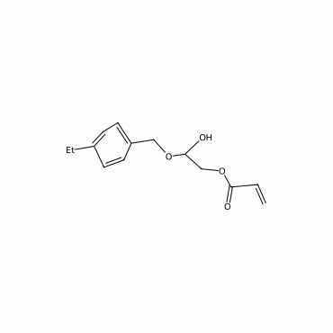 C=CC(=O)OCC(O)OCc1ccc(CC)cc1